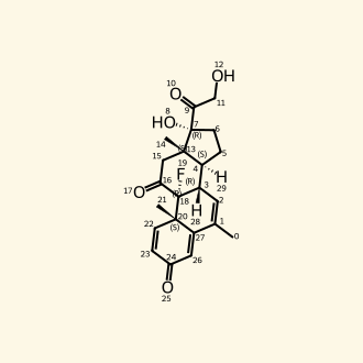 CC1=C[C@H]2[C@@H]3CC[C@](O)(C(=O)CO)[C@@]3(C)CC(=O)[C@]2(F)[C@@]2(C)C=CC(=O)C=C12